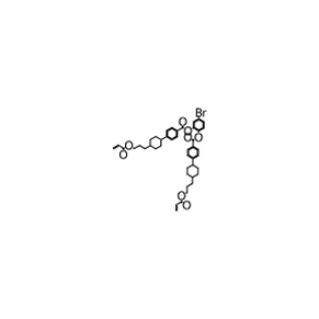 C=CC(=O)OCCCC1CCC(c2ccc(C(=O)Oc3ccc(Br)cc3OC(=O)c3ccc(C4CCC(CCCOC(=O)C=C)CC4)cc3)cc2)CC1